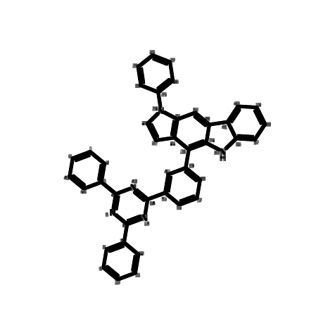 c1ccc(-c2nc(-c3ccccc3)nc(-c3cccc(-c4c5ccn(-c6ccccc6)c5cc5c4[nH]c4ccccc45)c3)n2)cc1